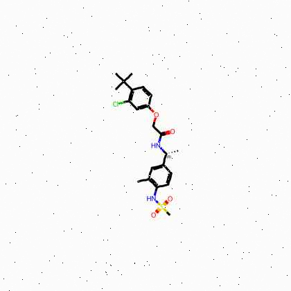 Cc1cc([C@@H](C)NC(=O)COc2ccc(C(C)(C)C)c(Cl)c2)ccc1NS(C)(=O)=O